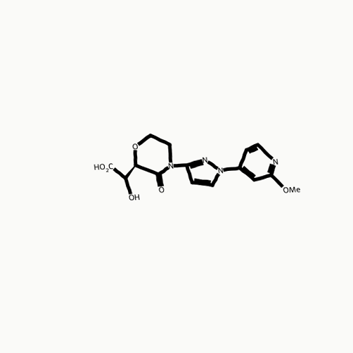 COc1cc(-n2ccc(N3CCO[C@H](C(O)C(=O)O)C3=O)n2)ccn1